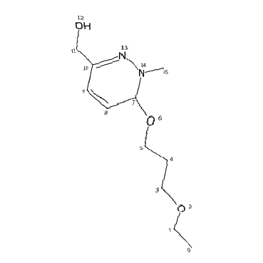 CCOCCCOC1C=CC(CO)=NN1C